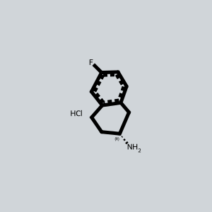 Cl.N[C@@H]1CCc2cc(F)ccc2C1